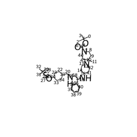 CC(C)(C)OC(=O)N1CCC(C)(N2CCC(NC(CNCC3CCC(O[Si](C)(C)C(C)(C)C)CC3)c3ccccc3)CC2)CC1